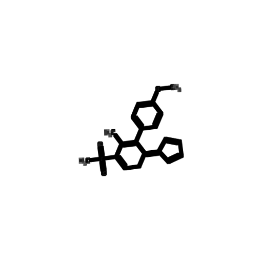 COc1ccc(C2=C(C)C(S(C)(=O)=O)=CCC2=C2C=CC=C2)cc1